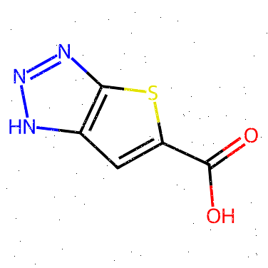 O=C(O)c1cc2[nH]nnc2s1